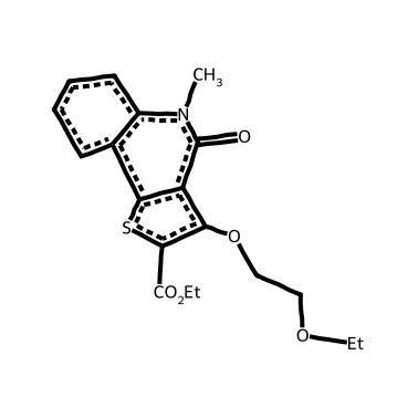 CCOCCOc1c(C(=O)OCC)sc2c1c(=O)n(C)c1ccccc21